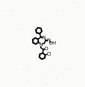 O=C(CN1CC(=NO)N=C(c2ccccc2)c2ccccc21)c1ccccc1Cl